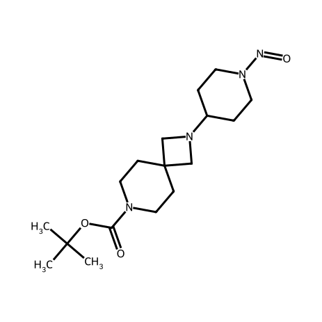 CC(C)(C)OC(=O)N1CCC2(CC1)CN(C1CCN(N=O)CC1)C2